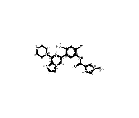 Cc1cc(F)c(NC(=O)c2cn(C(C)(C)C)cn2)cc1-c1cn2ccnc2c(N2CCOCC2)n1